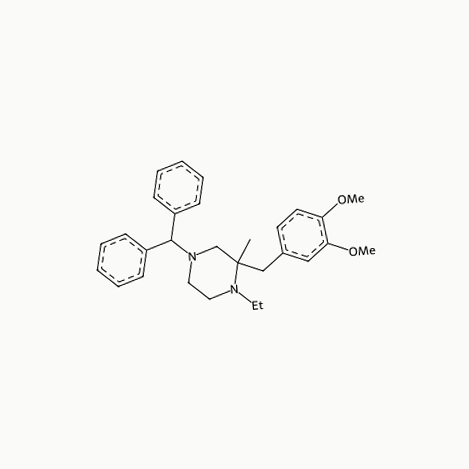 CCN1CCN(C(c2ccccc2)c2ccccc2)CC1(C)Cc1ccc(OC)c(OC)c1